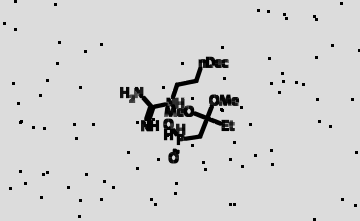 CCC(C[PH](=O)O)(OC)OC.CCCCCCCCCCCCNC(=N)N